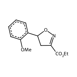 CCOC(=O)C1=NOC(c2ccccc2OC)C1